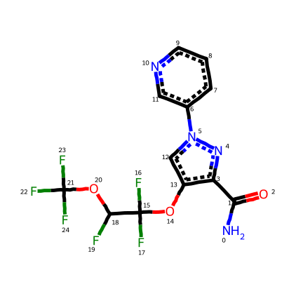 NC(=O)c1nn(-c2cccnc2)cc1OC(F)(F)C(F)OC(F)(F)F